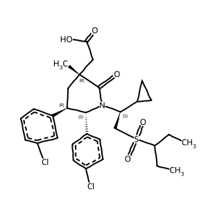 CCC(CC)S(=O)(=O)C[C@H](C1CC1)N1C(=O)[C@@](C)(CC(=O)O)C[C@H](c2cccc(Cl)c2)[C@H]1c1ccc(Cl)cc1